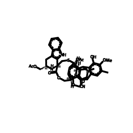 COc1c(C)cc2c(c1O)C1[C@@H]3[C@@H]4SC[C@]5(N[C@H](COC(C)=O)Cc6c5[nH]c5ccccc65)C(=O)OC[C@@H](c5c6c(c(C)c(OC(C)=O)c54)OCO6)N3C(C#N)(C2)CN1C